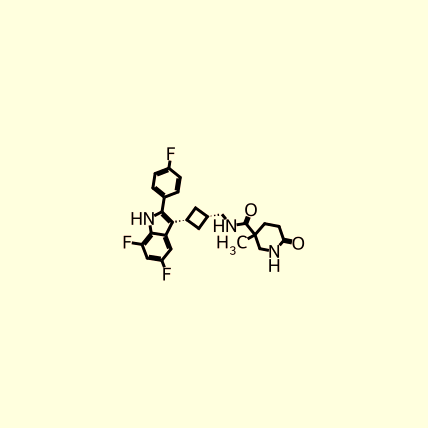 CC1(C(=O)NC[C@H]2C[C@@H](c3c(-c4ccc(F)cc4)[nH]c4c(F)cc(F)cc43)C2)CCC(=O)NC1